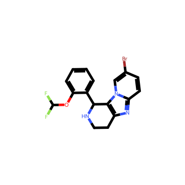 FC(F)Oc1ccccc1C1NCCc2nc3ccc(Br)cn3c21